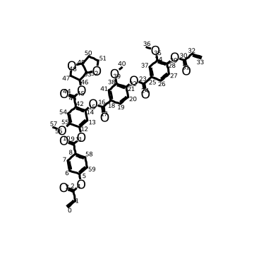 C=CC(=O)Oc1ccc(C(=O)Oc2cc(OC(=O)c3ccc(OC(=O)c4ccc(OC(=O)C=C)c(OC)c4)c(OC)c3)c(C(=O)OC3COC4CCOC43)cc2OC)cc1